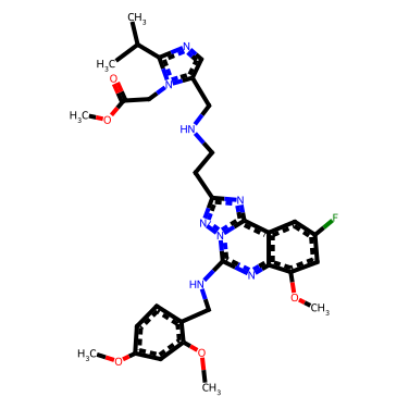 COC(=O)Cn1c(CNCCc2nc3c4cc(F)cc(OC)c4nc(NCc4ccc(OC)cc4OC)n3n2)cnc1C(C)C